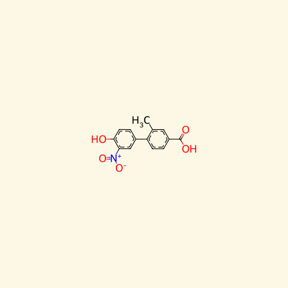 Cc1cc(C(=O)O)ccc1-c1ccc(O)c([N+](=O)[O-])c1